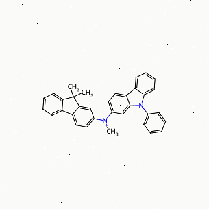 CN(c1ccc2c(c1)C(C)(C)c1ccccc1-2)c1ccc2c3ccccc3n(-c3ccccc3)c2c1